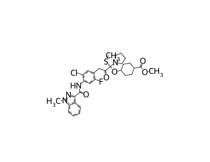 COC(=O)C1CCC(OC(SC)(C(=O)Cc2cc(Cl)c(NC(=O)c3nn(C)c4ccccc34)cc2F)N2CCCC2)CC1